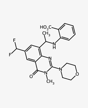 CC(Nc1ccccc1C(=O)O)c1cc(C(F)F)cc2c(=O)n(C)c(N3CCOCC3)nc12